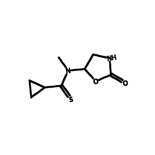 CN(C(=S)C1CC1)C1CNC(=O)O1